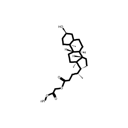 CCCOC(=O)COC(=O)CC[C@@H](C)[C@H]1CC[C@H]2[C@@H]3CCC4C[C@H](O)CC[C@]4(C)[C@H]3CC[C@]12C